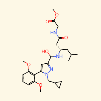 COC(=O)CNC(=O)C[C@H](CC(C)C)NC(O)c1cc(-c2c(OC)cccc2OC)n(CC2CC2)n1